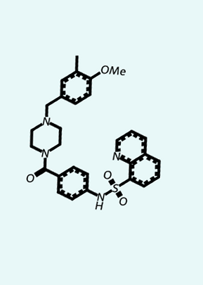 COc1ccc(CN2CCN(C(=O)c3ccc(NS(=O)(=O)c4cccc5cccnc45)cc3)CC2)cc1C